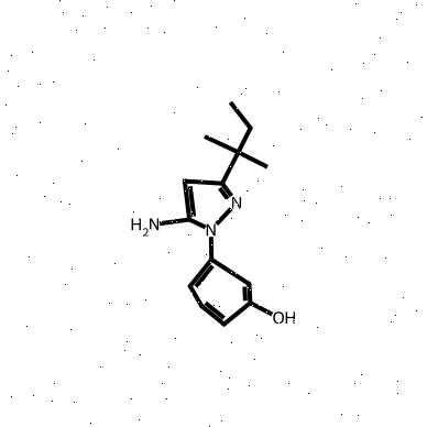 CCC(C)(C)c1cc(N)n(-c2cccc(O)c2)n1